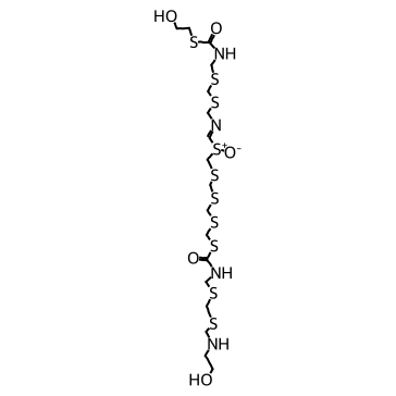 O=C(NCSCSC/N=C/[S+]([O-])CSCSCSCSC(=O)NCSCSCNCCO)SCCO